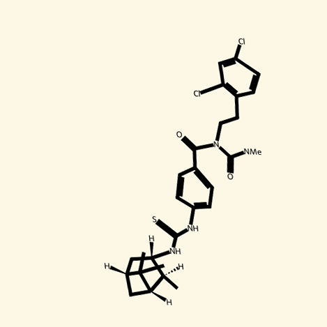 CNC(=O)N(CCc1ccc(Cl)cc1Cl)C(=O)c1ccc(NC(=S)N[C@H]2C[C@H]3C[C@@H]([C@@H]2C)C3(C)C)cc1